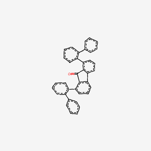 O=C1c2c(-c3ccccc3-c3ccccc3)cccc2-c2cccc(-c3ccccc3-c3ccccc3)c21